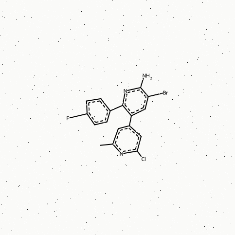 Cc1cc(-c2cc(Br)c(N)nc2-c2ccc(F)cc2)cc(Cl)n1